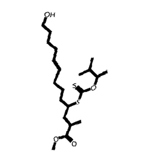 COC(=O)C(C)CC(CCCCCCCCCO)SC(=S)OC(C)C(C)C